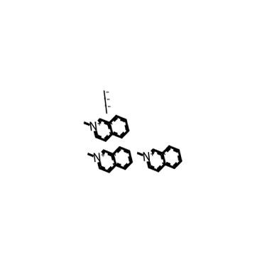 C[n+]1ccc2ccccc2c1.C[n+]1ccc2ccccc2c1.C[n+]1ccc2ccccc2c1.[I-].[I-].[I-]